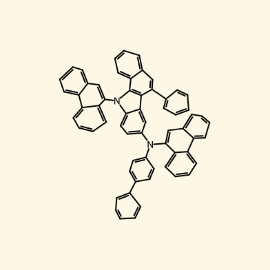 c1ccc(-c2ccc(N(c3ccc4c(c3)c3c(-c5ccccc5)cc5ccccc5c3n4-c3cc4ccccc4c4ccccc34)c3cc4ccccc4c4ccccc34)cc2)cc1